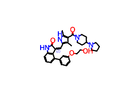 Cc1[nH]c(/C=C2\C(=O)Nc3cccc(-c4cccc(OCCO)c4)c32)c(C)c1C(=O)N1CCC(N2CCCC2)CC1